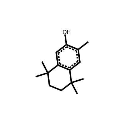 Cc1cc2c(cc1O)C(C)(C)CCC2(C)C